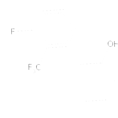 OC1CCCCC1c1cccc(F)c1C(F)(F)F